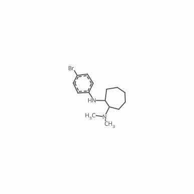 CN(C)C1CCCCCC1Nc1ccc(Br)cc1